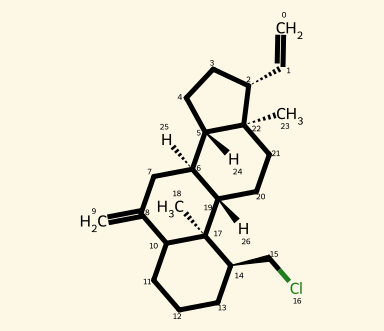 C=C[C@H]1CC[C@H]2[C@@H]3CC(=C)C4CCC[C@H](CCl)[C@]4(C)[C@H]3CC[C@]12C